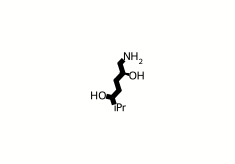 CC(C)C(O)CC[C@H](O)CN